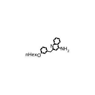 CCCCCCOc1cccc(Cc2cc(N)c3ccccc3n2)c1